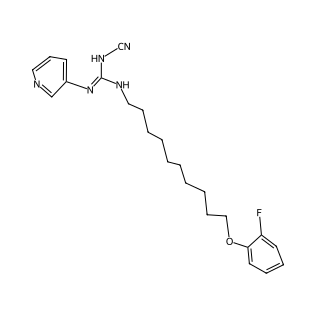 N#CN/C(=N\c1cccnc1)NCCCCCCCCCCOc1ccccc1F